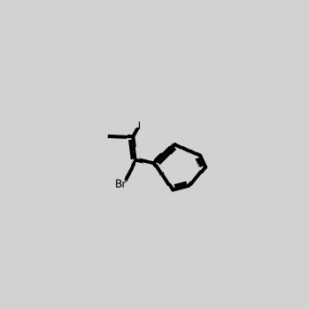 CC(I)=C(Br)c1ccccc1